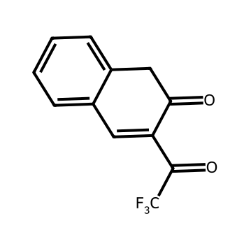 O=C1Cc2ccccc2C=C1C(=O)C(F)(F)F